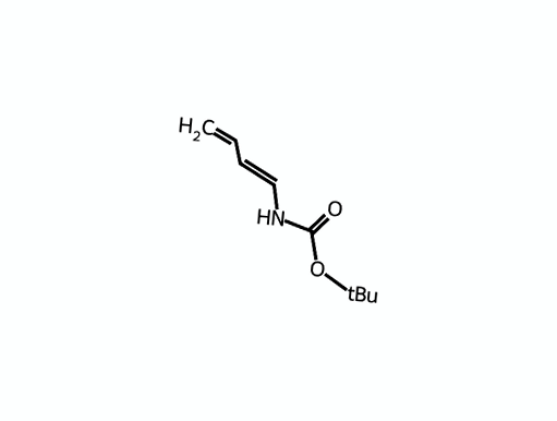 C=CC=CNC(=O)OC(C)(C)C